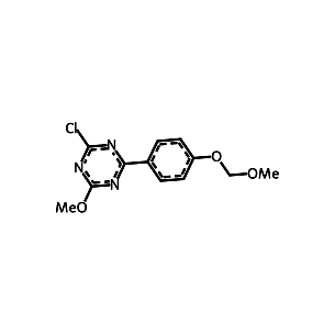 COCOc1ccc(-c2nc(Cl)nc(OC)n2)cc1